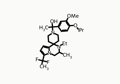 CCN1C(C)Cn2c(C(C)(F)F)ccc2C12CCN(C(C)(O)c1ccc(OC(C)C)c(OC)c1)CC2